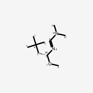 CO[C@H](CC(C)(C)C)N=CN(C)C